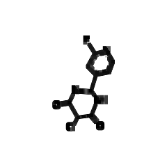 O=C1N=C(c2ccnc(F)c2)NC(=O)C1Cl